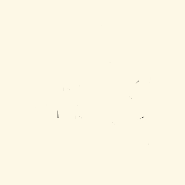 C[C@@H](OC(C)(C)C)[C@H](NC(=O)OCC1c2ccccc2-c2ccccc21)C(=O)N[C@@H](Cc1ccccc1)C(=O)N[C@H](C(=O)N[C@@H](COC(C)(C)C)C(=O)O)[C@@H](C)OC(C)(C)C